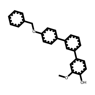 COc1cc(-c2cccc(-c3ccc(OCc4ccccc4)cc3)c2)ccc1O